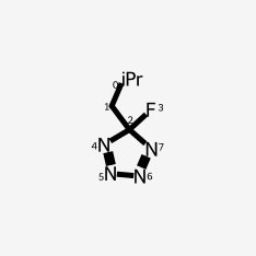 CC(C)CC1(F)N=NN=N1